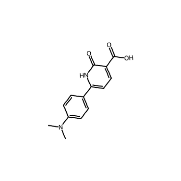 CN(C)c1ccc(-c2ccc(C(=O)O)c(=O)[nH]2)cc1